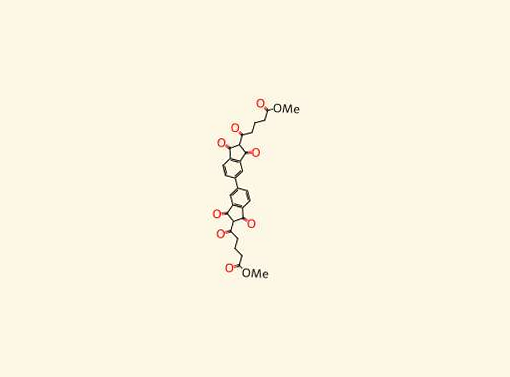 COC(=O)CCCC(=O)C1C(=O)c2ccc(-c3ccc4c(c3)C(=O)C(C(=O)CCCC(=O)OC)C4=O)cc2C1=O